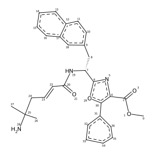 COC(=O)c1nc([C@@H](Cc2ccc3ccccc3c2)NC(=O)C=CCC(C)(C)N)oc1-c1ccccc1